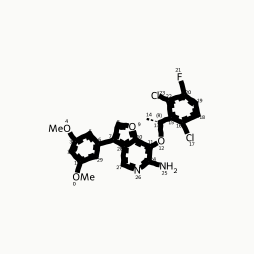 COc1cc(OC)cc(-c2coc3c(O[C@H](C)c4c(Cl)ccc(F)c4Cl)c(N)ncc23)c1